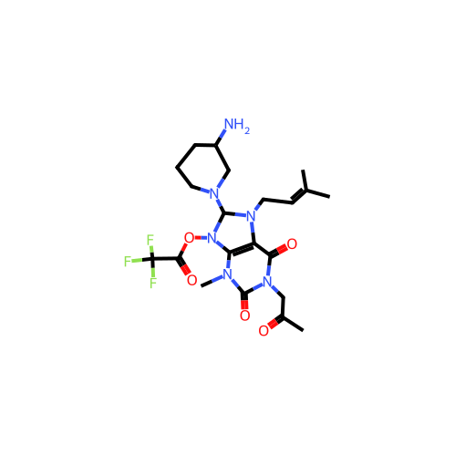 CC(=O)Cn1c(=O)c2c(n(C)c1=O)N(OC(=O)C(F)(F)F)C(N1CCCC(N)C1)N2CC=C(C)C